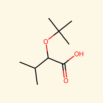 CC(C)C(OC(C)(C)C)C(=O)O